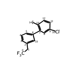 FC(F)(F)Cc1cccc(-c2cc(Cl)[c]cc2I)c1